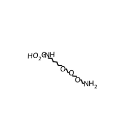 NCCOCCOCCOCCCCCCNC(=O)O